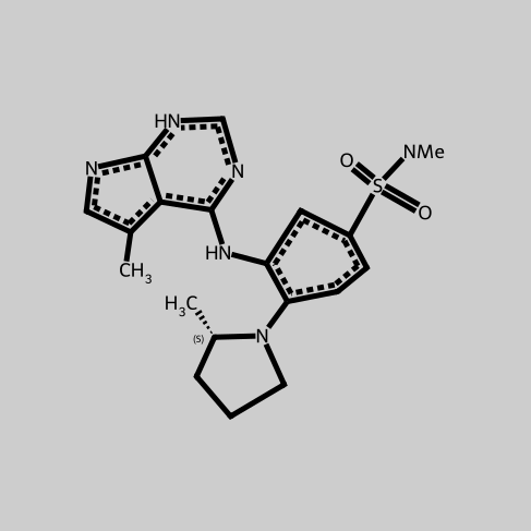 CNS(=O)(=O)c1ccc(N2CCC[C@@H]2C)c(Nc2nc[nH]c3ncc(C)c2-3)c1